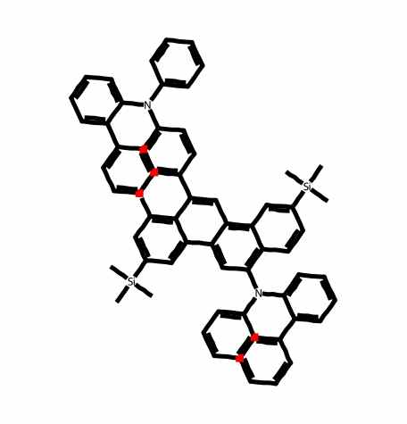 C[Si](C)(C)c1ccc2c(N(c3ccccc3)c3ccccc3-c3ccccc3)cc3c4cc([Si](C)(C)C)cc5c4c(cc3c2c1)-c1ccc(N(c2ccccc2)c2ccccc2-c2ccccc2)cc1O5